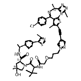 Cc1ncsc1-c1ccc(C(C)NC(=O)[C@@H]2C[C@@](C)(O)CN2C(=O)C(NC(=O)COCCCn2cc(C#Cc3sc4c(c3C)C(c3ccc(Cl)cc3)=N[C@@H](C)c3nnc(C)n3-4)cn2)C(C)(C)C)cc1